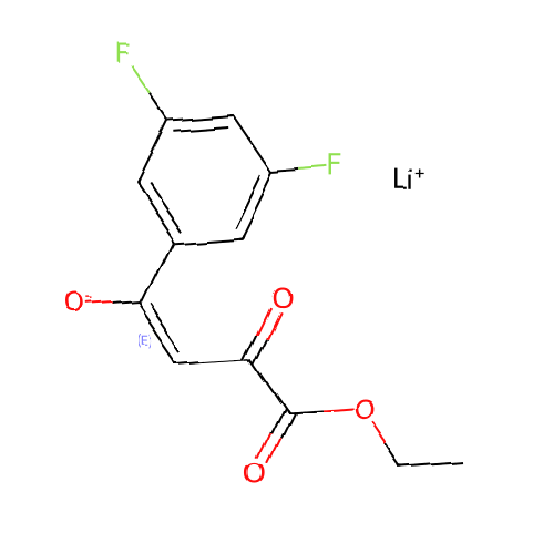 CCOC(=O)C(=O)/C=C(/[O-])c1cc(F)cc(F)c1.[Li+]